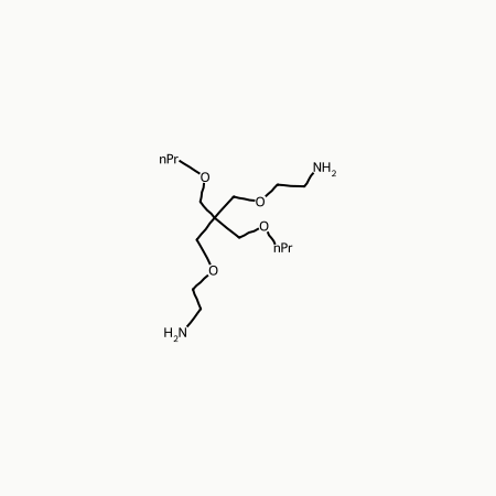 CCCOCC(COCCC)(COCCN)COCCN